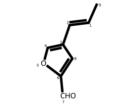 CC=Cc1coc(C=O)c1